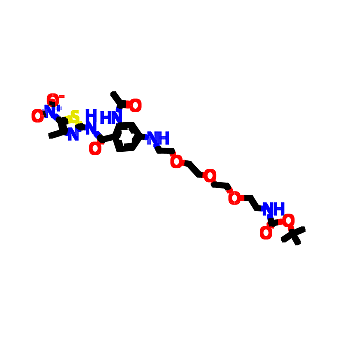 CC(=O)Nc1cc(NCCOCCOCCOCCNC(=O)OC(C)(C)C)ccc1C(=O)Nc1nc(C)c([N+](=O)[O-])s1